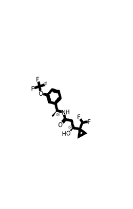 C[C@H](NC(=O)C[C@H](O)C1(C(F)F)CC1)c1cccc(OC(F)(F)F)c1